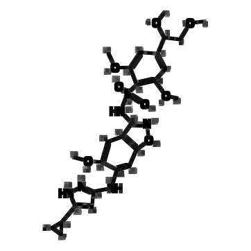 COCC(OC)c1cc(OC)c(S(=O)(=O)Nc2noc3cc(Nc4cc(C5CC5)[nH]n4)c(OC)cc23)c(OC)c1